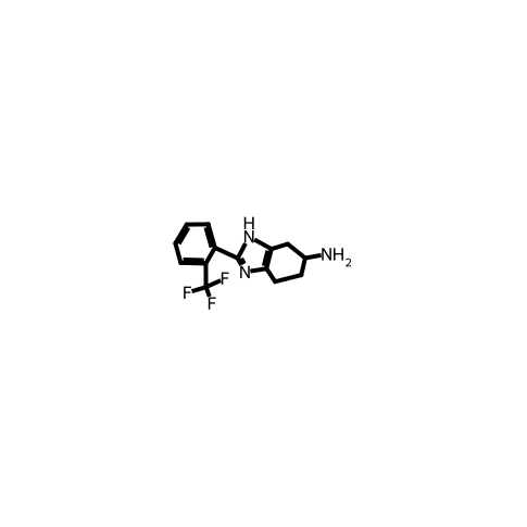 NC1CCc2nc(-c3ccccc3C(F)(F)F)[nH]c2C1